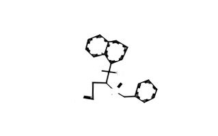 C=CCC(C(CC)(C(=O)O)c1cccc2ccccc12)P(=O)(O)Cc1ccccc1